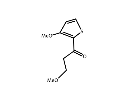 COCCC(=O)c1sccc1OC